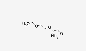 CCOCCOC(N)[C]=O